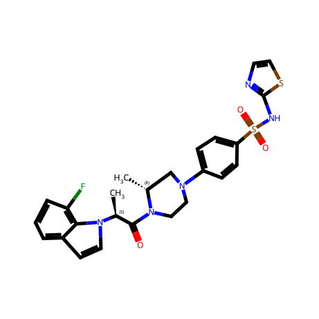 C[C@@H]1CN(c2ccc(S(=O)(=O)Nc3nccs3)cc2)CCN1C(=O)[C@H](C)n1ccc2cccc(F)c21